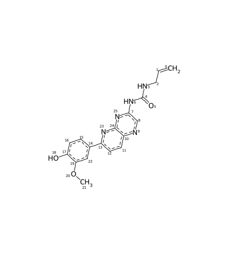 C=CCNC(=O)Nc1cnc2ccc(-c3ccc(O)c(OC)c3)nc2n1